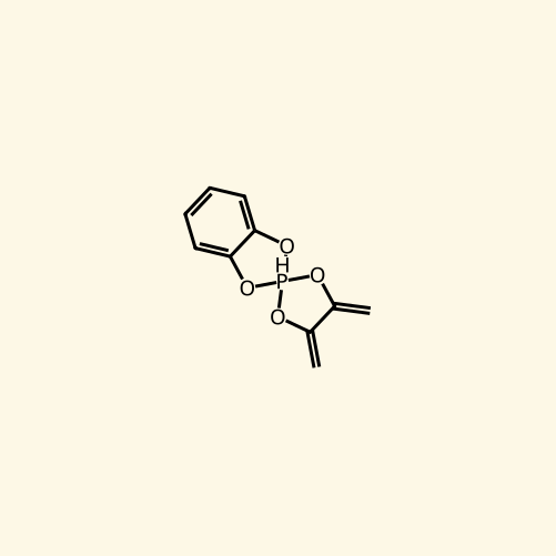 C=C1O[PH]2(OC1=C)Oc1ccccc1O2